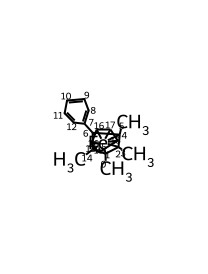 C[C]12[C]3(C)[C]4(C)[C]5(c6ccccc6)[C]1(C)[Fe]23451678[CH]2[CH]1[CH]6[CH]7[CH]28